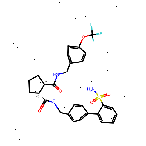 NS(=O)(=O)c1ccccc1-c1ccc(CNC(=O)[C@@H]2CCC[C@H]2C(=O)NCc2ccc(OC(F)(F)F)cc2)cc1